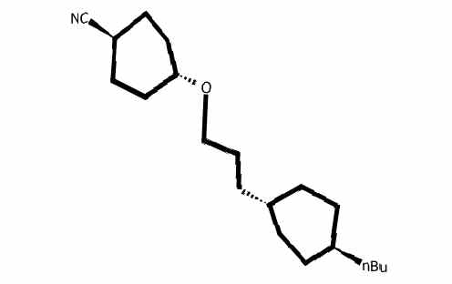 CCCC[C@H]1CC[C@H](CCCO[C@H]2CC[C@H](C#N)CC2)CC1